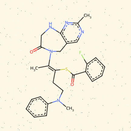 C/C(=C(\CCN(C)c1ccccc1)SC(=O)c1ccccc1F)N1Cc2cnc(C)nc2NCC1=O